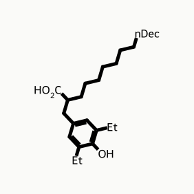 CCCCCCCCCCCCCCCCCC(Cc1cc(CC)c(O)c(CC)c1)C(=O)O